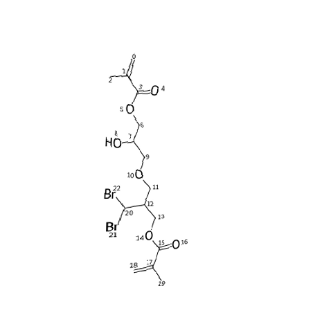 C=C(C)C(=O)OCC(O)COCC(COC(=O)C(=C)C)C(Br)Br